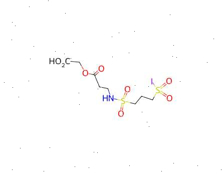 O=C(O)COC(=O)CCNS(=O)(=O)CCCS(=O)(=O)I